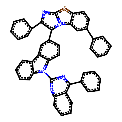 c1ccc(-c2ccc3sc4nc(-c5ccccc5)c(-c5ccc6c(c5)c5ccccc5n6-c5nc(-c6ccccc6)c6ccccc6n5)n4c3c2)cc1